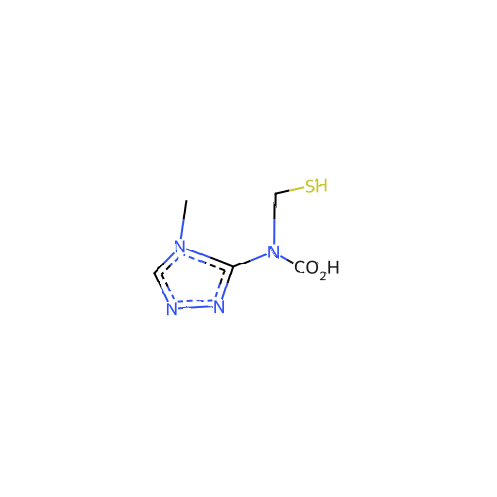 Cn1cnnc1N(CS)C(=O)O